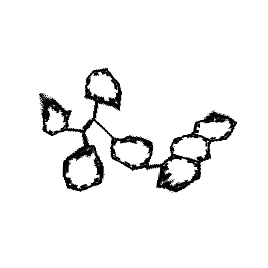 c1ccc(C(=C(c2ccccc2)c2ccc(-c3cccc4cc5ccccc5cc34)cc2)c2ccccc2)cc1